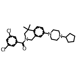 CC1(C)CN(C(=O)c2cc(Cl)cc(Cl)c2)Cc2cc(N3CCN(C4CCCC4)CC3)ccc21